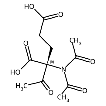 CC(=O)N(C(C)=O)[C@](CCC(=O)O)(C(C)=O)C(=O)O